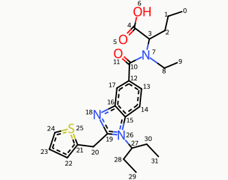 CCCC(C(=O)O)N(CC)C(=O)c1ccc2c(c1)nc(Cc1cccs1)n2C(CC)CC